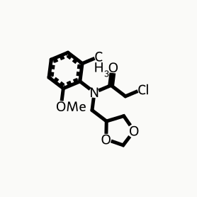 COc1cccc(C)c1N(CC1COCO1)C(=O)CCl